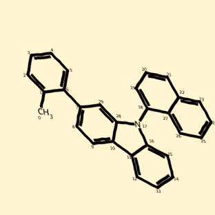 Cc1ccccc1-c1ccc2c3ccccc3n(-c3cccc4ccccc34)c2c1